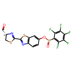 O=C[C@H]1CSC(c2nc3ccc(OS(=O)c4c(F)c(F)c(F)c(F)c4F)cc3s2)=N1